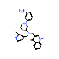 Cc1cc(CN(Cc2cn(C)c3ccccc3c2=O)C2CCCN(c3cccc(N)c3)C2)ccn1